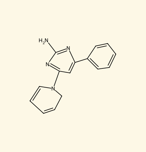 Nc1nc(-c2ccccc2)cc(N2C=CC=CC2)n1